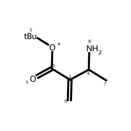 C=C(C(=O)OC(C)(C)C)C(C)N